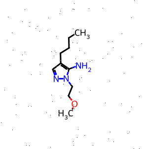 CCCCc1cnn(CCOC)c1N